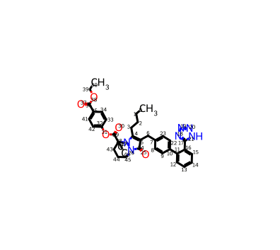 CCCCc1c(Cc2ccc(-c3ccccc3-c3nnn[nH]3)cc2)c(=O)n2n1C1(C(=O)Oc3ccc(C(=O)OCC)cc3)CCC2CC1